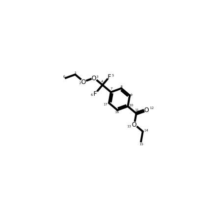 CCOOC(F)(F)c1ccc(C(=O)OCC)cc1